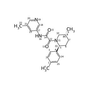 Cc1ccc([C@@H]2CC[C@@H](C)CN2C(=O)C(=O)Nc2cncc(C)c2)cc1